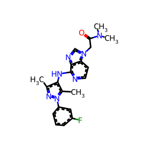 Cc1nn(-c2cccc(F)c2)c(C)c1Nc1nccc2c1ncn2CC(=O)N(C)C